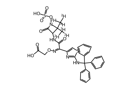 [2H]C([2H])([2H])C1(C([2H])([2H])[2H])C(NC(=O)C(=NOCC(=O)O)c2csc(NC(c3ccccc3)(c3ccccc3)c3ccccc3)n2)C(=O)N1OS(=O)(=O)O